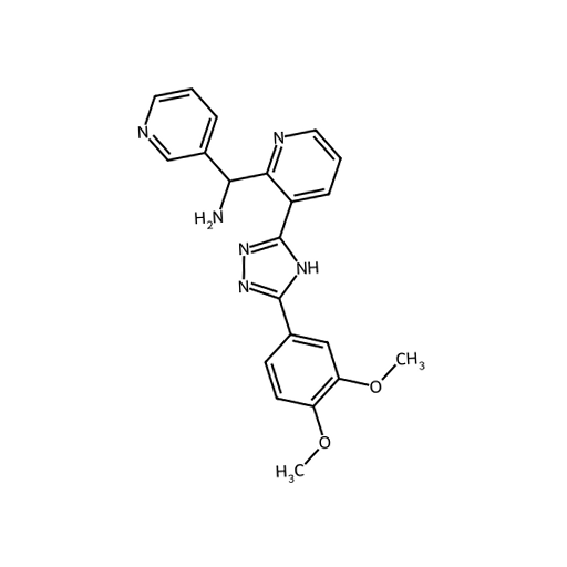 COc1ccc(-c2nnc(-c3cccnc3C(N)c3cccnc3)[nH]2)cc1OC